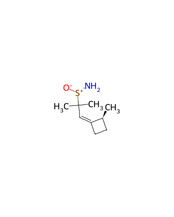 C[C@H]1CCC1=CC(C)(C)[S@@+](N)[O-]